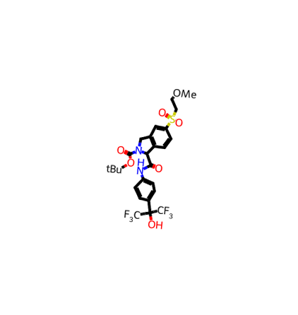 COCCS(=O)(=O)c1ccc2c(c1)CN(C(=O)OC(C)(C)C)C2C(=O)Nc1ccc(C(O)(C(F)(F)F)C(F)(F)F)cc1